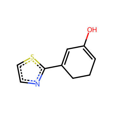 OC1=CCCC(c2nccs2)=C1